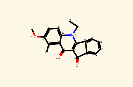 CCn1c2c(c(=O)c3c(C)c(OC)ccc31)C(=O)c1ccccc1-2